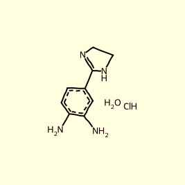 Cl.Nc1ccc(C2=NCCN2)cc1N.O